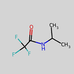 CC(C)NC(=O)C(F)(F)F